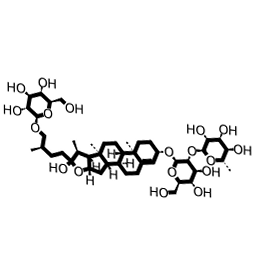 C[C@H](CCC1(O)O[C@H]2C[C@H]3[C@@H]4CCC5=C[C@@H](O[C@@H]6O[C@H](CO)[C@@H](O)[C@H](O)[C@H]6O[C@@H]6O[C@@H](C)[C@H](O)[C@@H](O)[C@H]6O)CC[C@]5(C)[C@H]4CC[C@]3(C)[C@H]2[C@@H]1C)CO[C@@H]1O[C@H](CO)[C@@H](O)[C@H](O)[C@H]1O